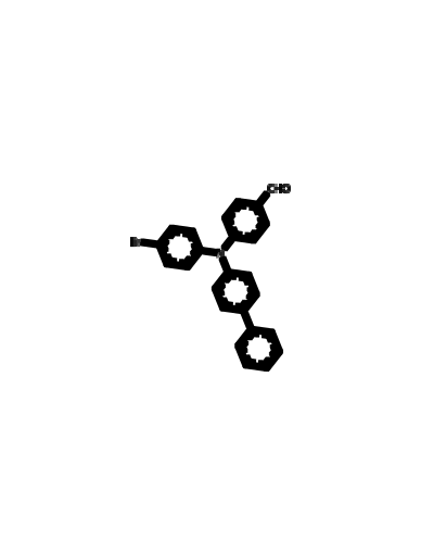 O=Cc1ccc(N(c2ccc(Br)cc2)c2ccc(-c3ccccc3)cc2)cc1